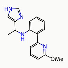 COc1cccc(-c2ccccc2NC(C)c2c[nH]cn2)n1